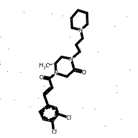 C[C@@H]1CN(CCCN2CCCCC2)C(=O)CN1C(=O)C=Cc1ccc(Cl)c(Cl)c1